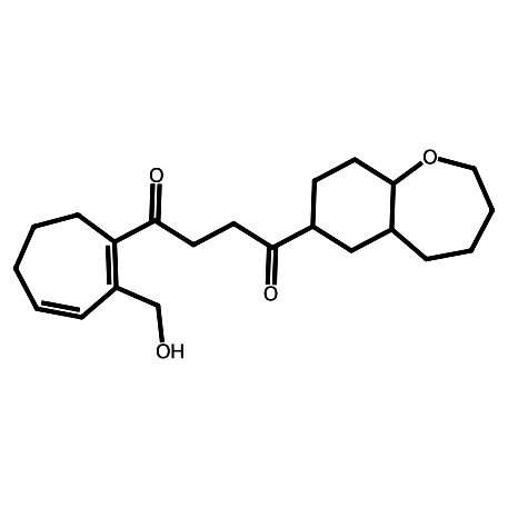 O=C(CCC(=O)C1CCC2OCCCCC2C1)C1=C(CO)C=CCCC1